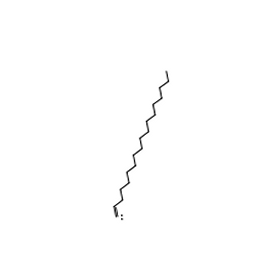 [C]=CCCCCCCCCCCCCCCCC